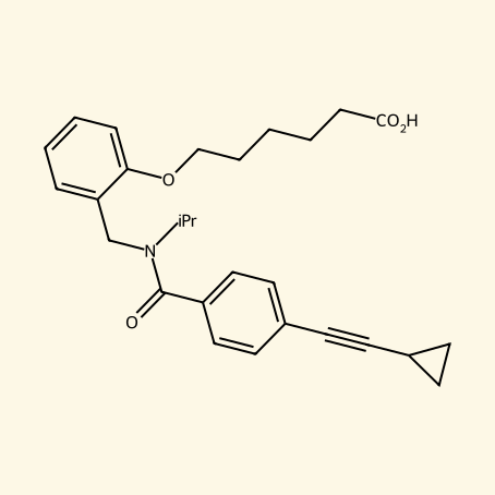 CC(C)N(Cc1ccccc1OCCCCCC(=O)O)C(=O)c1ccc(C#CC2CC2)cc1